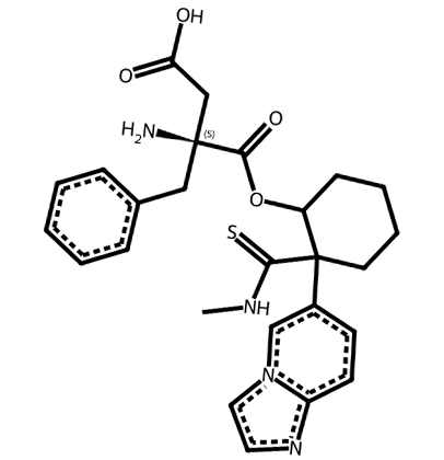 CNC(=S)C1(c2ccc3nccn3c2)CCCCC1OC(=O)[C@@](N)(CC(=O)O)Cc1ccccc1